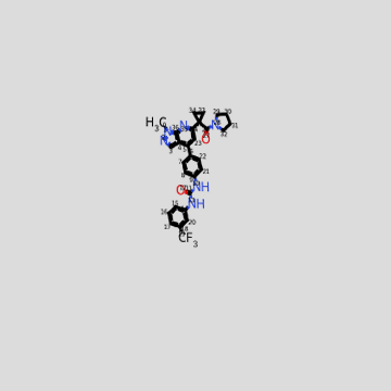 Cn1ncc2c(-c3ccc(NC(=O)Nc4cccc(C(F)(F)F)c4)cc3)cc(C3(C(=O)N4CCCC4)CC3)nc21